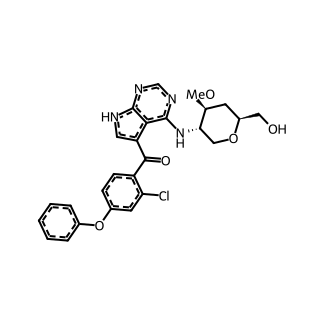 CO[C@H]1C[C@@H](CO)OC[C@@H]1Nc1ncnc2[nH]cc(C(=O)c3ccc(Oc4ccccc4)cc3Cl)c12